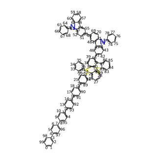 c1ccc(-c2ccc(-c3ccc(-c4ccc(-c5ccc(-c6ccc(S(c7ccccc7)(c7ccccc7)c7ccc(-c8ccc9c(c8)c8cc(-c%10ccc%11c(c%10)c%10ccccc%10n%11-c%10ccccc%10)ccc8n9-c8ccccc8)c8c7sc7ccccc78)cc6)cc5)cc4)cc3)cc2)cc1